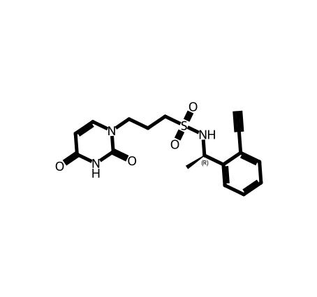 C#Cc1ccccc1[C@@H](C)NS(=O)(=O)CCCn1ccc(=O)[nH]c1=O